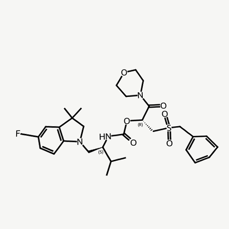 CC(C)[C@@H](CN1CC(C)(C)c2cc(F)ccc21)NC(=O)O[C@@H](CS(=O)(=O)Cc1ccccc1)C(=O)N1CCOCC1